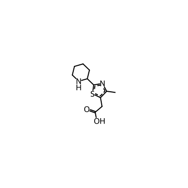 Cc1nc(C2CCCCN2)sc1CC(=O)O